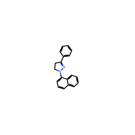 c1ccc(C2=NN(c3cccc4ccccc34)CC2)cc1